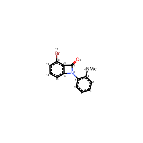 CNc1ccccc1N1C(=O)c2c(Br)cccc21